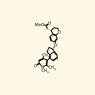 COC(=O)C[C@@H]1CCOc2cc(O[C@@H]3CCc4c(-c5c(C)cc(=O)n(C)c5C)cccc43)ccc21